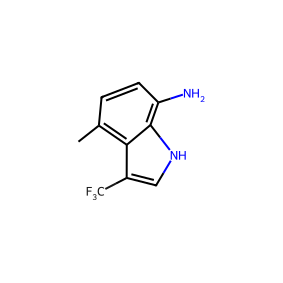 Cc1ccc(N)c2[nH]cc(C(F)(F)F)c12